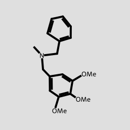 COc1cc(CN(C)Cc2ccccc2)cc(OC)c1OC